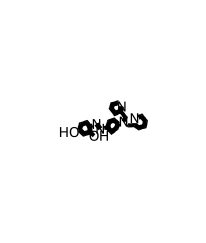 Oc1ccc(/N=N/c2ccc(N(Cc3ccccn3)Cc3ccccn3)cc2)c(O)c1